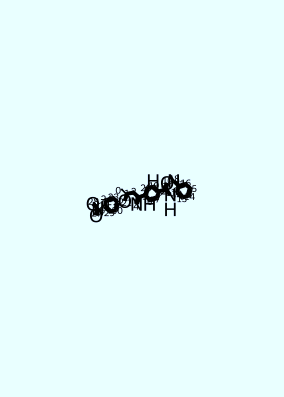 C[C@@H](CC(=N)c1ccc(C(=O)Nc2ccccc2N)cc1)Oc1ccc([N+](=O)[O-])cc1